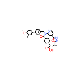 COc1ccc(C23CCC(CN(c4cc(-c5nnc(C(C)C)o5)ccn4)C(=O)[C@H]4CC[C@H](CC(=O)O)CC4)(CC2)CC3)cc1C